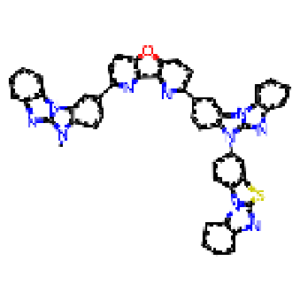 Cn1c2ccc(-c3ccc4oc5ccc(-c6ccc7c(c6)n6c8ccccc8nc6n7-c6ccc7c(c6)sc6nc8ccccc8n67)nc5c4n3)cc2n2c3ccccc3nc12